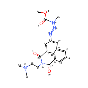 COC(=O)N(C)/N=N/c1cc2c3c(cccc3c1)C(=O)N(CCN(C)C)C2=O